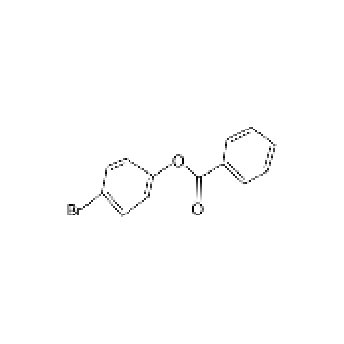 O=C(Oc1ccc(Br)cc1)c1ccccc1